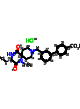 CCCCN1C(=O)[C@H](CC(C)C)NC(=O)C12CCN(Cc1cccc(-c3ccc(C(=O)O)cc3)c1)CC2.Cl